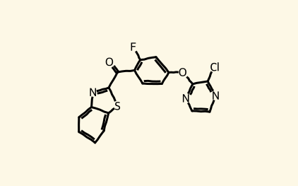 O=C(c1nc2ccccc2s1)c1ccc(Oc2nccnc2Cl)cc1F